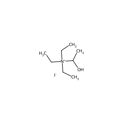 CC[N+](CC)(CC)C(C)O.[I-]